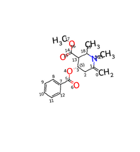 C=C1C[C@H](OC(=O)c2ccccc2)C(C(=O)OC)C(C)N1C